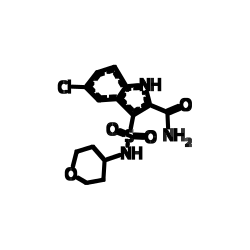 NC(=O)c1[nH]c2ccc(Cl)cc2c1S(=O)(=O)NC1CCOCC1